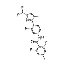 Cc1cc(F)c(C(=O)Nc2ccc(-n3nc(C(F)F)cc3C)c(F)c2)c(F)c1